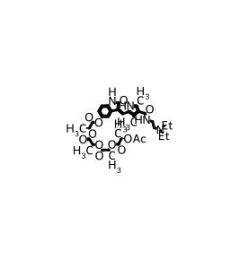 CCN(CC)CCNC(=O)c1c(C)[nH]c(/C=C2\C(=O)Nc3ccc(OC(=O)[C@H](C)OC(=O)[C@H](C)OC(=O)[C@H](C)OC(=O)[C@H](C)OC(C)=O)cc32)c1C